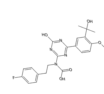 COc1ccc(-c2nc(O)nc(N(CCc3ccc(F)cc3)C(=O)O)n2)cc1C(C)(C)O